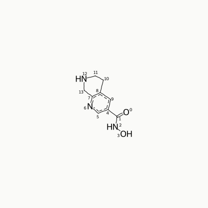 O=C(NO)c1cnc2c(c1)CCNC2